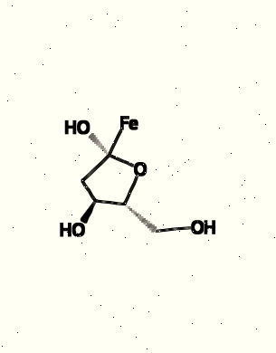 OC[C@H]1O[C@](O)([Fe])C[C@@H]1O